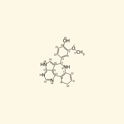 COc1cc(C2NC3=C(CCC=C3)c3ncnc4[nH]cc2c34)ccc1O